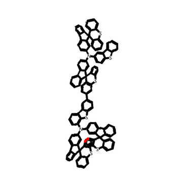 c1ccc2c(c1)Sc1ccccc1C21c2ccccc2-c2ccc(N(c3ccc4c(c3)C3(c5ccccc5Sc5cc(-c6ccc7sc8c(N(c9ccc%10c(c9)C9(c%11ccccc%11Sc%11ccccc%119)c9ccccc9-%10)c9ccc%10c(c9)C9(c%11ccccc%11Sc%11ccccc%119)c9ccccc9-%10)cccc8c7c6)ccc53)c3ccccc3-4)c3ccc4sc5ccccc5c4c3)cc21